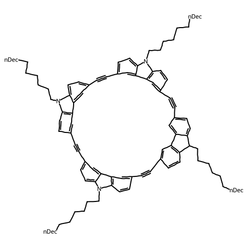 CCCCCCCCCCCCCCCCC1c2ccc3cc2-c2cc(ccc21)C#Cc1ccc2c(c1)c1cc(ccc1n2CCCCCCCCCCCCCCCC)C#Cc1ccc2c(c1)c1cc(ccc1n2CCCCCCCCCCCCCCCC)C#Cc1ccc2c(c1)c1cc(ccc1n2CCCCCCCCCCCCCCCC)C#C3